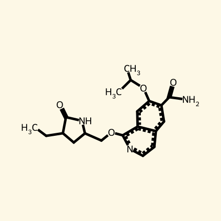 CCC1CC(COc2nccc3cc(C(N)=O)c(OC(C)C)cc23)NC1=O